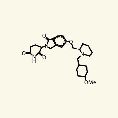 COC1CCC(CN2CCCC[C@@H]2COc2ccc3c(c2)CN(C2CCC(=O)NC2=O)C3=O)CC1